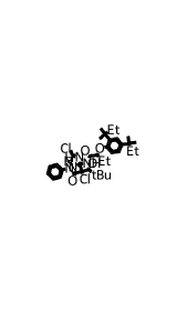 CCC(Oc1ccc(C(C)(C)CC)cc1C(C)(C)CC)C(=O)NC1(C(Cl)(C(=O)Nc2ccccc2)C(=O)C(C)(C)C)N=NC(Cl)=N1